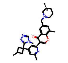 Cc1cc(C2(c3nncn3C)CC(C)C2)cc(-c2coc3c(C)cc(CN4CCC[C@H](C)C4)cc3c2=O)n1